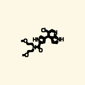 COCCN(CCOC)C(=O)c1cc(-c2c(Cl)cnc3[nH]ccc23)c[nH]1